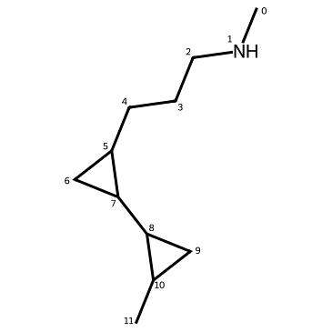 CNCCCC1CC1C1CC1C